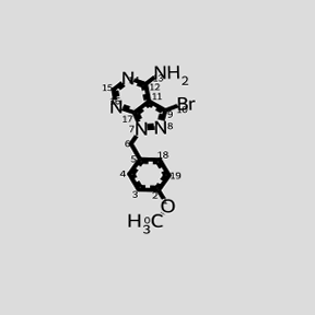 COc1ccc(Cn2nc(Br)c3c(N)ncnc32)cc1